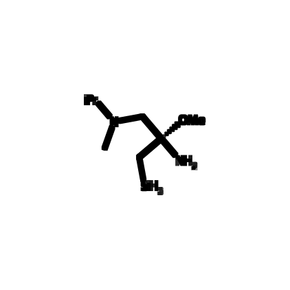 CO[C@](N)(C[SiH3])CN(C)C(C)C